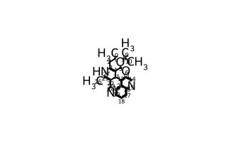 CCCC1=C(C(=O)OC(C)C)C(c2ccnc3ccccc23)C(C#N)=C(C)N1